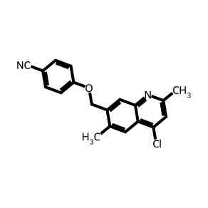 Cc1cc(Cl)c2cc(C)c(COc3ccc(C#N)cc3)cc2n1